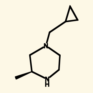 C[C@H]1CN(CC2CC2)CCN1